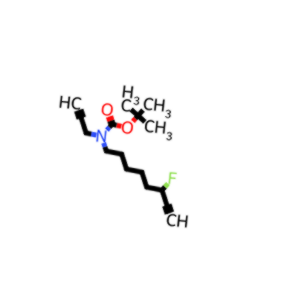 C#CCN(CCCCCC(F)C#C)C(=O)OC(C)(C)C